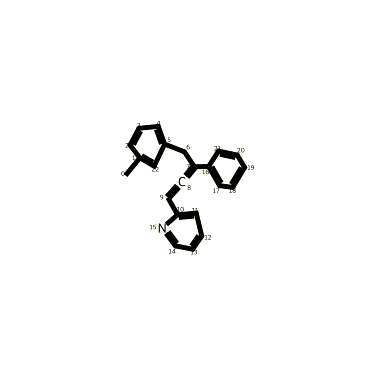 Cc1cccc(CC(=C=Cc2ccccn2)c2ccccc2)c1